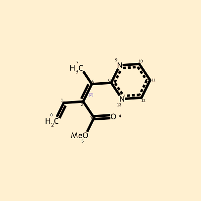 C=C/C(C(=O)OC)=C(\C)c1ncccn1